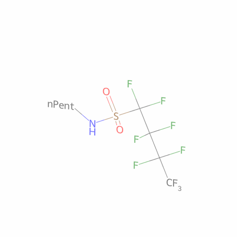 CCCCCNS(=O)(=O)C(F)(F)C(F)(F)C(F)(F)C(F)(F)F